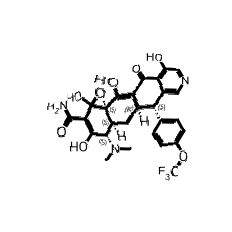 CN(C)[C@@H]1C(O)=C(C(N)=O)C2(O)O[C@@]23C(O)=C2C(=O)c4c(O)cncc4[C@H](c4ccc(OC(F)(F)F)cc4)[C@H]2C[C@@H]13